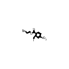 O=C(OCCBr)c1ccc([N+](=O)[O-])cc1CI